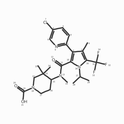 Cc1c(-c2ccc(Cl)cn2)c(C(=O)N(C)C2CCN(C(=O)O)CC2(C)C)n(C(C)C)c1C(F)(F)F